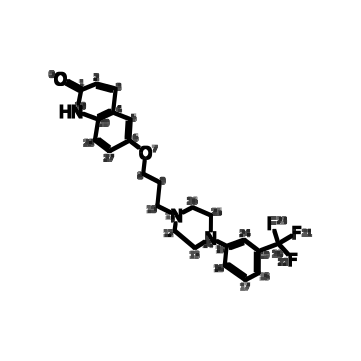 O=c1ccc2cc(OCCCN3CCN(c4cccc(C(F)(F)F)c4)CC3)ccc2[nH]1